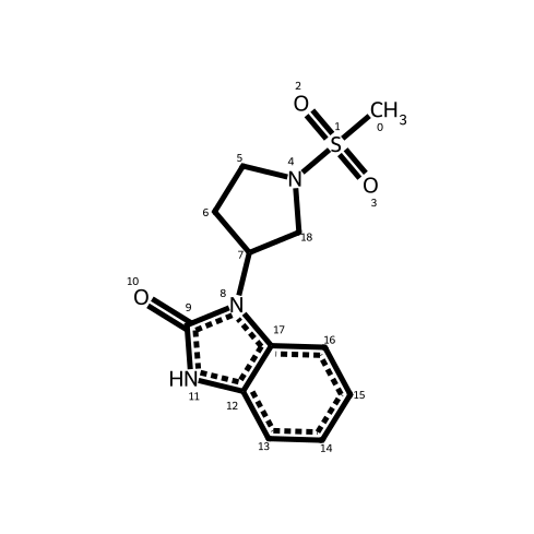 CS(=O)(=O)N1CCC(n2c(=O)[nH]c3ccccc32)C1